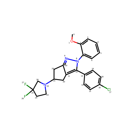 COc1ccccc1-n1nc2c(c1-c1ccc(Cl)cc1)CC(N1CCC(F)(F)C1)C2